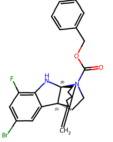 C=C1CCCC[C@]23Nc4c(F)cc(Br)cc4[C@]12CCN3C(=O)OCc1ccccc1